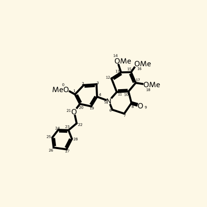 COc1ccc(N2CCC(=O)c3c2cc(OC)c(OC)c3OC)cc1OCc1ccccc1